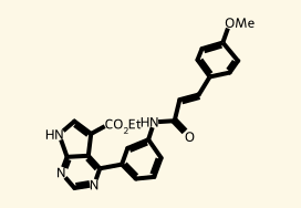 CCOC(=O)c1c[nH]c2ncnc(-c3cccc(NC(=O)C=Cc4ccc(OC)cc4)c3)c12